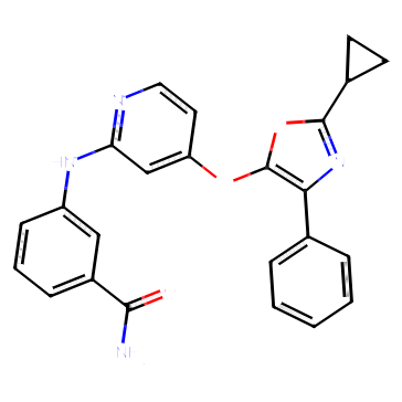 NC(=O)c1cccc(Nc2cc(Oc3oc(C4CC4)nc3-c3ccccc3)ccn2)c1